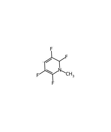 CN1C(F)=C(F)[C]=C(F)C1F